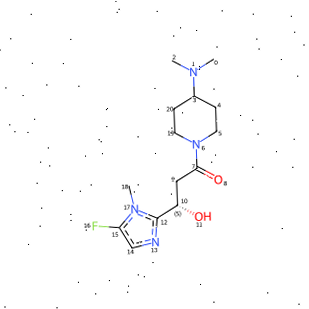 CN(C)C1CCN(C(=O)C[C@H](O)c2ncc(F)n2C)CC1